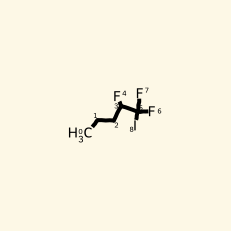 CCCC(F)C(F)(F)I